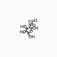 O=C(CCl)NC1C(O)O[C@H](CO)C(O)[C@@H]1O